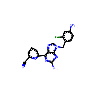 N#Cc1cccc(-c2nc(N)nc3c2ncn3Cc2ccc(N)cc2F)n1